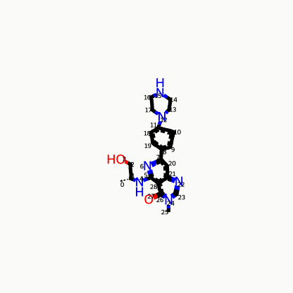 C[C@H](CO)Nc1nc(-c2ccc(N3CCNCC3)cc2)cc2ncn(C)c(=O)c12